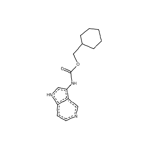 O=C(Nc1c[nH]c2ccncc12)OCC1CCCCC1